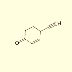 C#CC1C=CC(=O)CC1